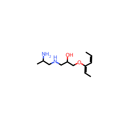 C/C=C\C(=C/C)OCC(O)CNCC(C)N